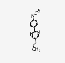 C=CCc1cnc(-c2ccc(N=C=S)cc2)nc1